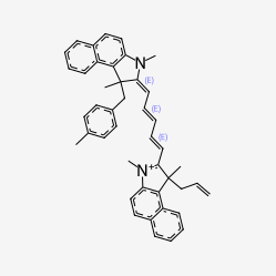 C=CCC1(C)C(/C=C/C=C/C=C2/N(C)c3ccc4ccccc4c3C2(C)Cc2ccc(C)cc2)=[N+](C)c2ccc3ccccc3c21